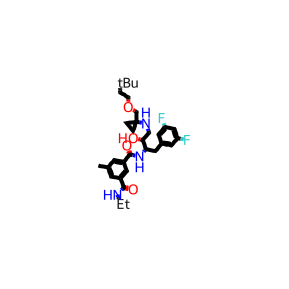 CCNC(=O)c1cc(C)cc(C(=O)NC(Cc2cc(F)cc(F)c2)C(O)CNC2(COCCC(C)(C)C)CC2)c1